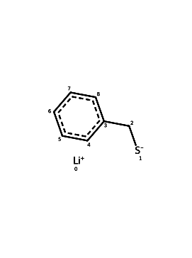 [Li+].[S-]Cc1ccccc1